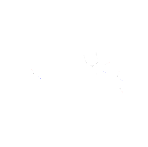 O=C(O)NCCOCCCc1cccc2c1C(=O)N(C1CCC(=O)NC1=O)C2=O